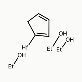 CCO.CCO.CCO.[Hf][C]1=CC=CC1